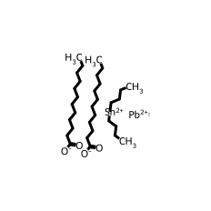 CCCCCCCCCCCC(=O)[O-].CCCCCCCCCCCC(=O)[O-].CCC[CH2][Sn+2][CH2]CCC.[Pb+2]